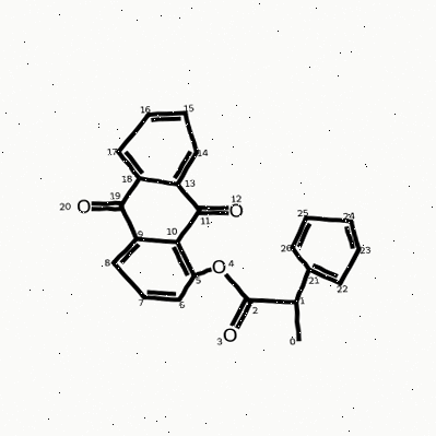 CC(C(=O)Oc1cccc2c1C(=O)c1ccccc1C2=O)c1ccccc1